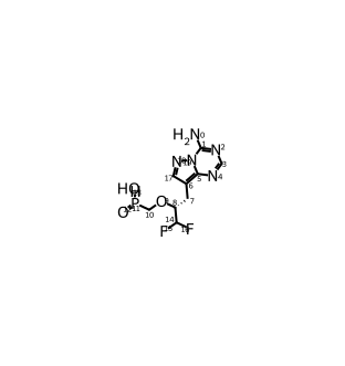 Nc1ncnc2c(C[C@@H](OC[PH](=O)O)C(F)F)cnn12